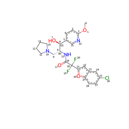 COc1ccc([C@H](O)[C@@H](CN2CCCC2)NC(=O)C(F)(F)c2cc3cc(Cl)ccc3o2)cn1